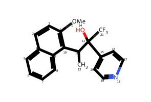 COc1ccc2ccccc2c1C(C)C(O)(c1ccncc1)C(F)(F)F